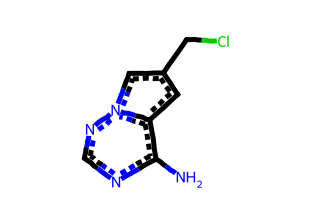 Nc1ncnn2cc(CCl)cc12